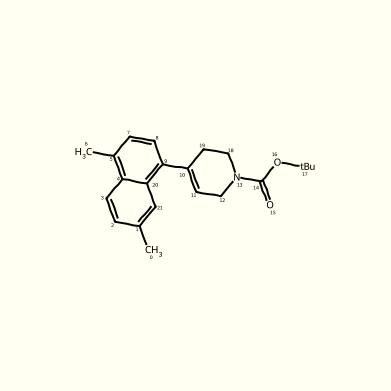 Cc1ccc2c(C)ccc(C3=CCN(C(=O)OC(C)(C)C)CC3)c2c1